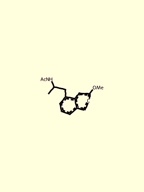 COc1ccc2c[c]cc(CC(C)NC(C)=O)c2c1